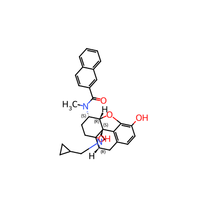 CN(C(=O)c1ccc2ccccc2c1)[C@H]1CCC2(O)[C@H]3Cc4ccc(O)c5c4[C@@]2(CCN3CC2CC2)[C@H]1O5